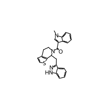 Cn1cc(C(=O)N2CCc3ccsc3C2Cc2n[nH]c3ccccc23)c2ccccc21